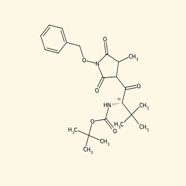 CC1C(=O)N(OCc2ccccc2)C(=O)C1C(=O)[C@@H](NC(=O)OC(C)(C)C)C(C)(C)C